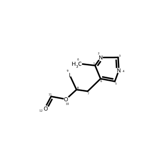 Cc1ncncc1CC(I)OC=O